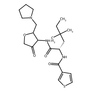 CCC(C)(C)C[C@H](NC(=O)c1ccsc1)C(=O)NC1C(=O)COC1CN1CCCC1